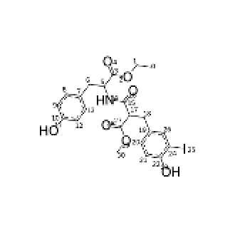 CCOC(=O)C(Cc1ccc(O)cc1)NC(=O)C(Cc1ccc(O)c(I)c1)C(=O)OC